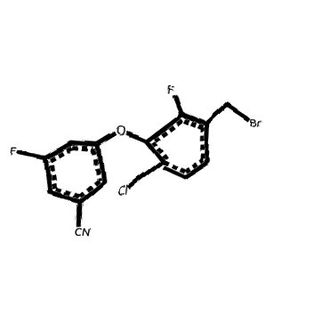 N#Cc1cc(F)cc(Oc2c(Cl)ccc(CBr)c2F)c1